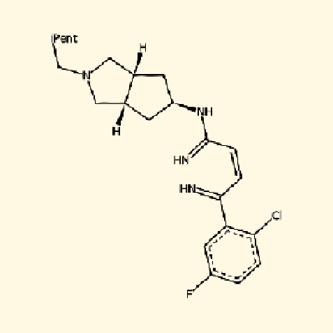 CCCC(C)CN1C[C@H]2C[C@H](NC(=N)/C=C\C(=N)c3cc(F)ccc3Cl)C[C@H]2C1